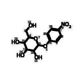 O=[N+]([O-])c1ccc(OC2OC(CO)C(O)C(O)[C@@H]2O)cc1